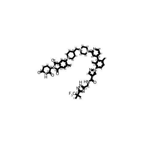 Cc1ccc(-n2cc(C(=O)NCc3nc(C(C)(C)C(F)(F)F)n[nH]3)cn2)c(C)c1-c1ccnc(N2CCN(CC3CCN(c4cc5c(cc4F)C(=O)N(C4CCC(=O)NC4=O)C5=O)CC3)CC2)c1